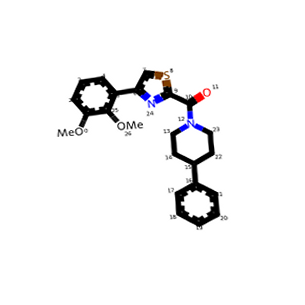 COc1cccc(-c2csc(C(=O)N3CCC(c4ccccc4)CC3)n2)c1OC